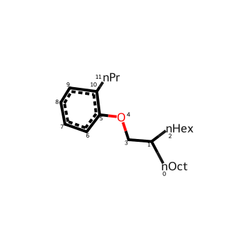 CCCCCCCCC(CCCCCC)COc1ccccc1CCC